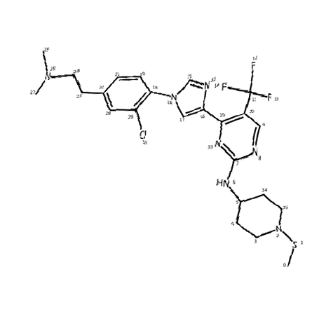 CSN1CCC(Nc2ncc(C(F)(F)F)c(-c3cn(-c4ccc(CCN(C)C)cc4Cl)cn3)n2)CC1